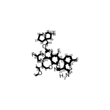 COC(C)[C@H]1COc2c(Cl)c(-c3ccc(F)c4sc(N)c(C#N)c34)c(F)c3nc(OC[C@@]45CCCN4C[C@H](F)C5)nc(c23)N1CC(F)F